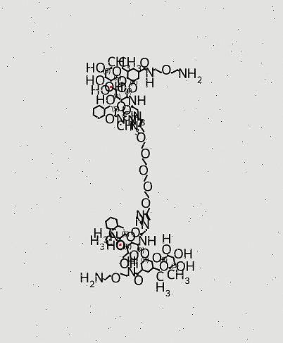 CCC1CC(C(=O)NCCOCCN)C[C@@H](O[C@H]2OC(CO)[C@H](O)C(O[C@@H](CC3CCCCC3)C(=O)N(C)C)C2NC(=O)Cn2cc(COCCOCCOCCOCCOCc3cn(CC(=O)NC4C(O[C@@H](CC5CCCCC5)C(=O)N(C)C)[C@@H](O)C(CO)O[C@H]4O[C@@H]4CC(C(=O)NCCOCCN)CC(CC)C4O[C@@H]4OC(C)[C@@H](O)C(O)C4O)nn3)nn2)C1O[C@@H]1OC(C)[C@@H](O)C(O)C1O